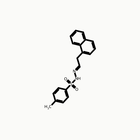 Cc1ccc(S(=O)(=O)NN=CCc2cccc3ccccc23)cc1